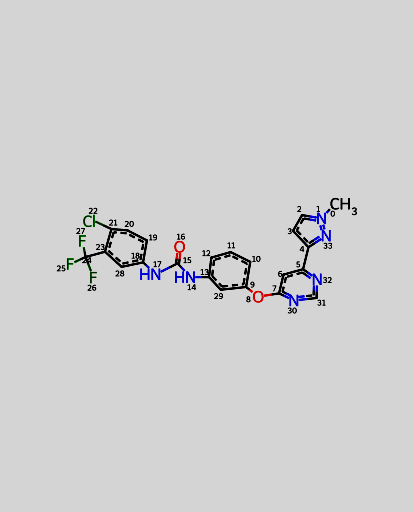 Cn1ccc(-c2cc(Oc3cccc(NC(=O)Nc4ccc(Cl)c(C(F)(F)F)c4)c3)ncn2)n1